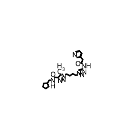 CC1C(C(=O)NCC2CCCC2)N=NN1CCCCn1cc(NC(=O)Cc2cccnc2)nn1